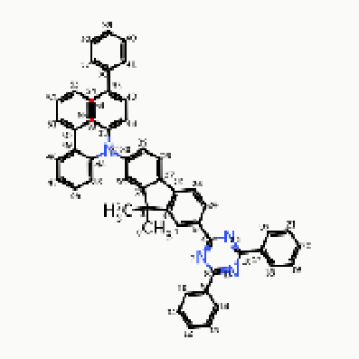 CC1(C)c2cc(-c3nc(-c4ccccc4)nc(-c4ccccc4)n3)ccc2-c2ccc(N(c3ccc(-c4ccccc4)cc3)c3ccccc3-c3ccccc3)cc21